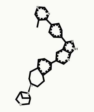 Cc1cncnc1-c1ccc(-c2n[nH]c3ncc(-c4ccc5c(c4)CC[C@@H](N4C6COCC4C6)CC5)cc23)cc1